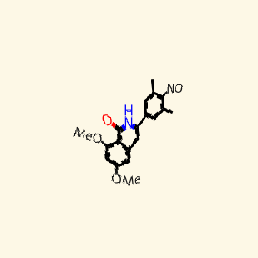 COc1cc(OC)c2c(=O)[nH]c(-c3cc(C)c(N=O)c(C)c3)cc2c1